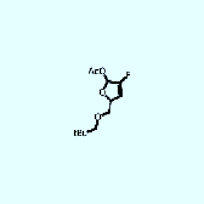 CC(=O)OC1O[C@H](COCC(C)(C)C)C=C1F